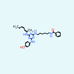 C=C/C=C\C=C(/C)Nc1nc(NCCCCCCNC(=O)c2ccccc2)nc(Nc2ccc(O)cc2)n1